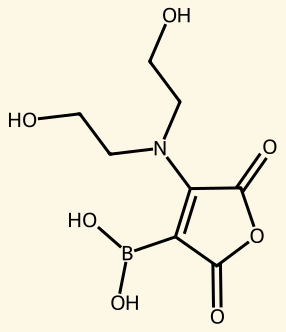 O=C1OC(=O)C(N(CCO)CCO)=C1B(O)O